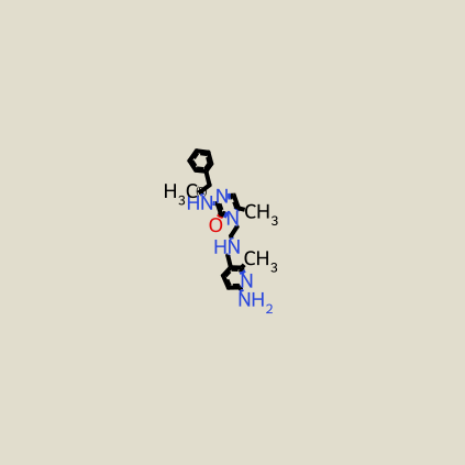 Cc1nc(N)ccc1CNCCn1c(C)cnc(N[C@H](C)Cc2ccccc2)c1=O